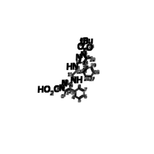 Cc1c(-c2ccccc2)c(NCCNc2nn(C(=O)OC(C)(C)C)c(C)c2-c2ccccc2)nn1C(=O)O